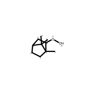 CC1(C)C2CCC1(C)C(OO)C2